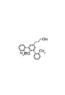 Cc1ccccc1-c1cc(CCCO)cc(-c2ccccc2C)c1O